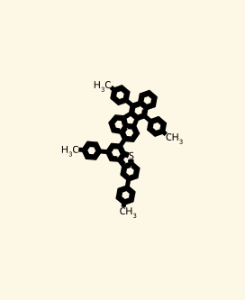 Cc1ccc(-c2ccc3sc4c(-c5ccc6c7c(cccc57)-c5c-6c(-c6ccc(C)cc6)c6ccccc6c5-c5ccc(C)cc5)cc(-c5ccc(C)cc5)cc4c3c2)cc1